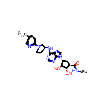 CCC(C)NC(=O)[C@@H]1C[C@@H](n2cnc3c(N[C@H]4CCN(c5ccc(C(F)(F)F)cn5)C4)ncnc32)[C@H](O)[C@@H]1O